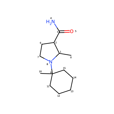 CC1C(C(N)=O)CCN1C1(C)CCCCC1